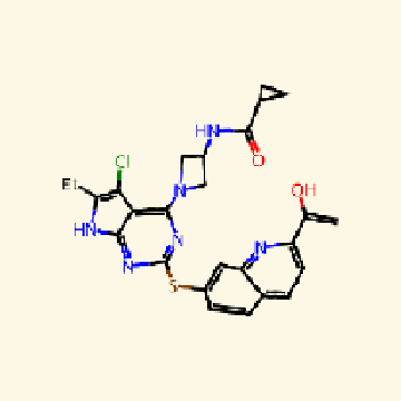 C=C(O)c1ccc2ccc(Sc3nc(N4CC(NC(=O)C5CC5)C4)c4c(Cl)c(CC)[nH]c4n3)cc2n1